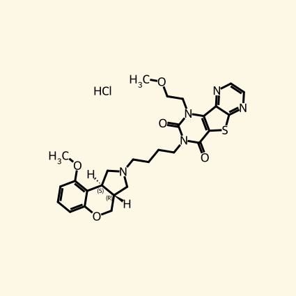 COCCn1c(=O)n(CCCCN2C[C@@H]3COc4cccc(OC)c4[C@H]3C2)c(=O)c2sc3nccnc3c21.Cl